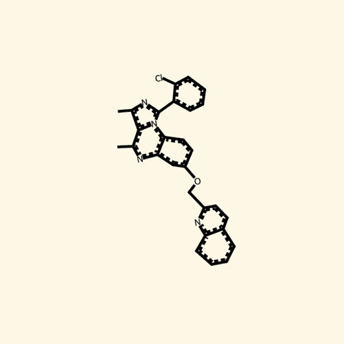 Cc1nc(-c2ccccc2Cl)n2c1c(C)nc1cc(OCc3ccc4ccccc4n3)ccc12